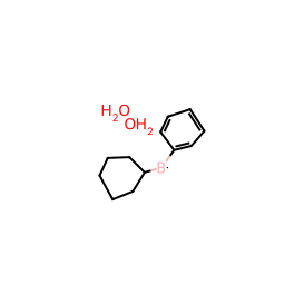 O.O.[B](c1ccccc1)C1CCCCC1